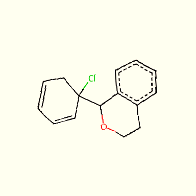 ClC1(C2OCCc3ccccc32)C=CC=CC1